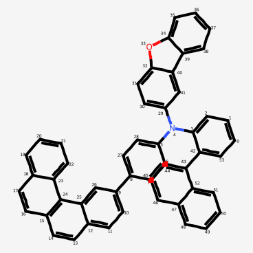 c1ccc(N(c2ccc(-c3ccc4ccc5ccc6ccccc6c5c4c3)cc2)c2ccc3oc4ccccc4c3c2)c(-c2cccc3ccccc23)c1